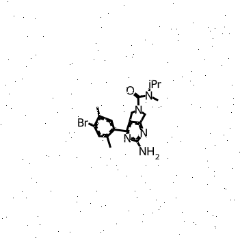 Cc1cc(-c2nc(N)nc3c2CN(C(=O)N(C)C(C)C)C3)c(C)cc1Br